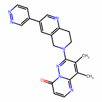 Cc1c(N2CCc3ncc(-c4ccnnc4)cc3C2)nn2c(=O)ccnc2c1C